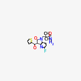 CC(C)(CN1C(=O)C(C(=O)c2cccs2)c2nc(F)ccc21)C(N)=O